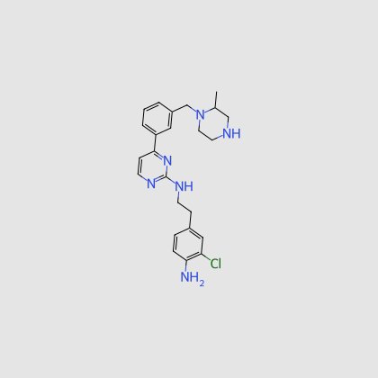 CC1CNCCN1Cc1cccc(-c2ccnc(NCCc3ccc(N)c(Cl)c3)n2)c1